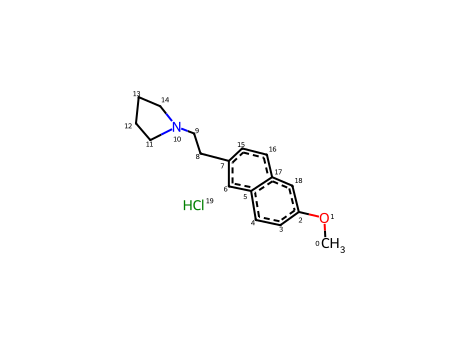 COc1ccc2cc(CCN3CCCC3)ccc2c1.Cl